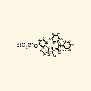 CCOC(=O)COc1cccc2c1CCC(F)(C(C)OC(=O)N(c1ccccc1)c1ccccc1)C2